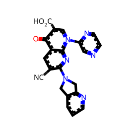 N#Cc1cc2c(=O)c(C(=O)O)cn(-c3cnccn3)c2nc1N1Cc2cccnc2C1